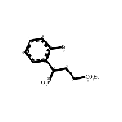 CCOC(=O)CCC(c1ccccc1Br)[N+](=O)[O-]